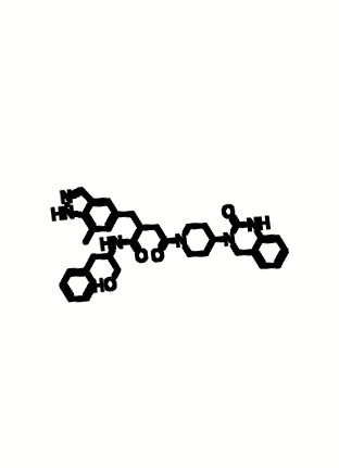 Cc1cc(CC(CC(=O)N2CCC(N3Cc4ccccc4NC3=O)CC2)C(=O)NC(CO)Cc2ccccc2)cc2cn[nH]c12